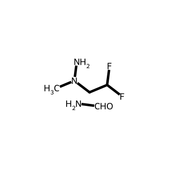 CN(N)CC(F)F.NC=O